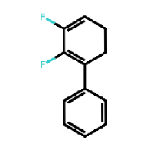 FC1=C[CH]CC(c2ccccc2)=C1F